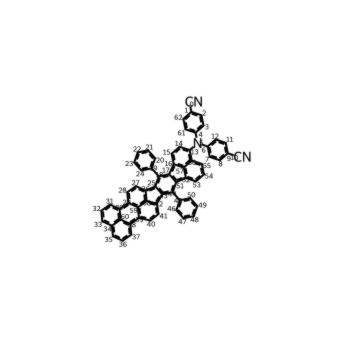 N#Cc1ccc(N(c2ccc(C#N)cc2)c2ccc3c4c(-c5ccccc5)c5c6ccc7c8cccc9cccc(c%10ccc(c5c(-c5ccccc5)c4c4cccc2c43)c6c%107)c98)cc1